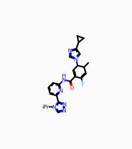 CC1C=C(F)C(C(=O)Nc2cccc(-c3nncn3C(C)C)n2)=CC1n1cnc(C2CC2)c1